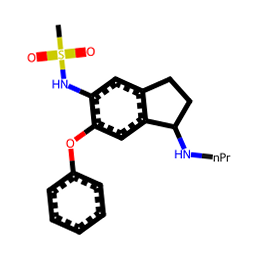 CCCNC1CCc2cc(NS(C)(=O)=O)c(Oc3ccccc3)cc21